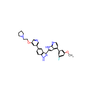 COc1cc(F)cc(-c2ccnc3[nH]c(-c4n[nH]c5ccc(-c6cncc(OCCN7CCCC7)c6)cc45)cc23)c1